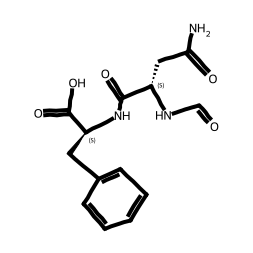 NC(=O)C[C@H](NC=O)C(=O)N[C@@H](Cc1ccccc1)C(=O)O